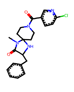 CN1C(=O)C(Cc2ccccc2)NC12CCN(C(=O)c1ccc(Cl)nc1)CC2